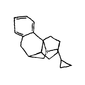 c1ccc2c(c1)CC1CN(CC3CC3)C23CCCCC13